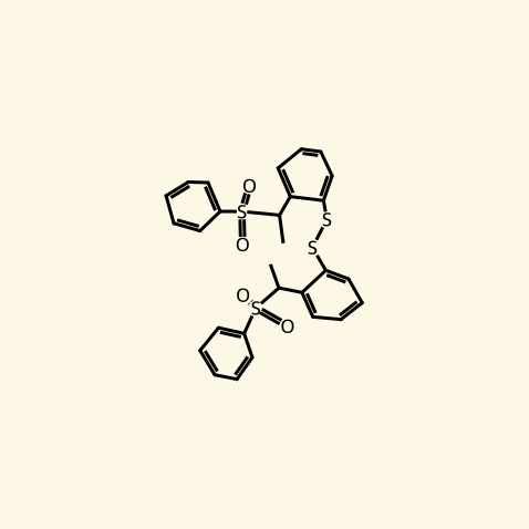 CC(c1ccccc1SSc1ccccc1C(C)S(=O)(=O)c1ccccc1)S(=O)(=O)c1ccccc1